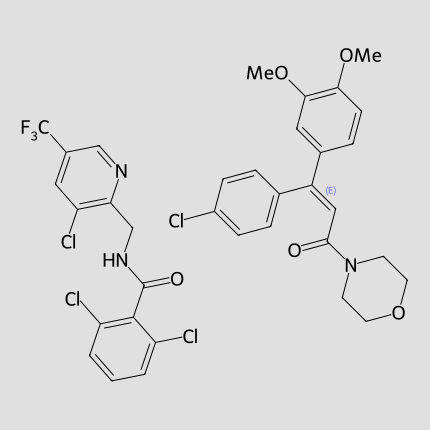 COc1ccc(/C(=C/C(=O)N2CCOCC2)c2ccc(Cl)cc2)cc1OC.O=C(NCc1ncc(C(F)(F)F)cc1Cl)c1c(Cl)cccc1Cl